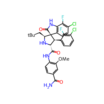 COc1cc(C(N)=O)ccc1NC(=O)[C@@H]1N[C@@H](CC(C)(C)C)[C@@]2(C(=O)Nc3c2ccc(Cl)c3F)[C@H]1c1cccc(Cl)c1F